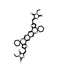 CCN1C(=O)/C(=C/c2cc3c(s2)C2=CC4C=C5OC6(CCCCC6)c6cc(/C=C7/SC(=S)N(CC)C7=O)sc6C5=CC4C=C2OC32CCCCC2)SC1=S